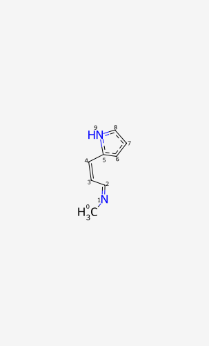 C/N=C\C=C/c1ccc[nH]1